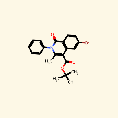 Cc1c(C(=O)OC(C)(C)C)c2cc(Br)ccc2c(=O)n1-c1ccccc1